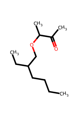 CCCCC(CC)COC(C)C(C)=O